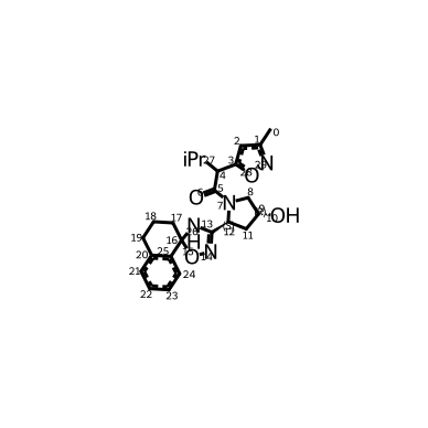 Cc1cc(C(C(=O)N2C[C@H](O)C[C@H]2C2=NOC3(CCCc4ccccc43)N2)C(C)C)on1